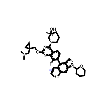 C/C=C\c1c(Cl)cc2c(cnn2C2CCCCO2)c1-c1ccc2c(N3CCC[C@@](C)(O)C3)nc(OCC3(CN(C)C)CC3)nc2c1F